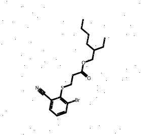 CCCCC(CC)COC(=O)CCSc1c(Br)cccc1C#N